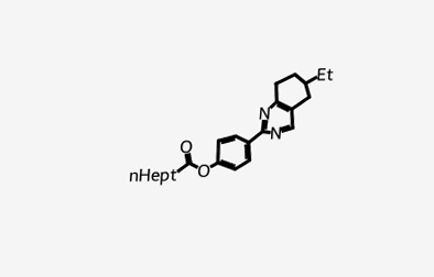 CCCCCCCC(=O)Oc1ccc(-c2ncc3c(n2)CCC(CC)C3)cc1